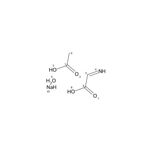 CC(=O)O.N=CC(=O)O.O.[NaH]